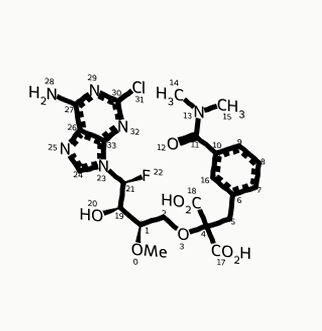 CO[C@H](COC(Cc1cccc(C(=O)N(C)C)c1)(C(=O)O)C(=O)O)[C@@H](O)[C@H](F)n1cnc2c(N)nc(Cl)nc21